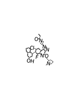 C=CC(=O)N1CC(n2cnc3c(OCC4CCCN4C)nc4c(F)c(-c5cc(O)cc6ccccc56)c(Cl)cc4c32)C1